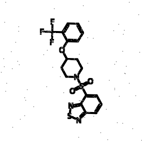 O=S(=O)(c1cccc2nsnc12)N1CCC(Oc2ccccc2C(F)(F)F)CC1